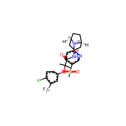 CC(C)(Oc1ccc(F)c(C(F)(F)F)c1)C(=O)N[C@H]1C[C@H]2CC[C@@H](C1)N2c1ccc(S(C)(=O)=O)cn1